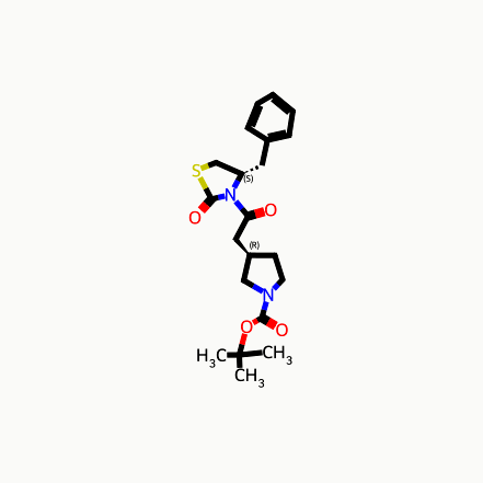 CC(C)(C)OC(=O)N1CC[C@H](CC(=O)N2C(=O)SC[C@@H]2Cc2ccccc2)C1